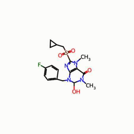 CN1C(=O)c2c(nc(S(=O)(=O)CC3CC3)n2C)N(Cc2ccc(F)cc2)C1O